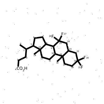 CC(CCC(=O)O)C1CCC2C3C(CCC12C)C1(C)CCC(F)(F)CC1CC3(F)F